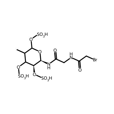 CC1C(OS(=O)(=O)O)O[C@@H](NC(=O)CNC(=O)CBr)[C@@H](OS(=O)(=O)O)C1OS(=O)(=O)O